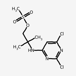 CC(C)(COS(C)(=O)=O)Nc1cc(Cl)nc(Cl)n1